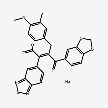 COc1ccc(C/C(C(=O)c2ccc3c(c2)OCO3)=C(\C(=O)[O-])c2ccc3nsnc3c2)cc1C.[Na+]